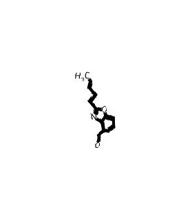 CCCCCc1nc2c(C=O)cccc2o1